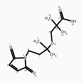 CC(C)(CCN1C(=O)C=CC1=O)OCC(C)(C)C(=O)O